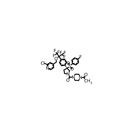 CC(=O)N1CCN(C(=O)N2CC[C@](c3ccc(C(OCc4ccnc(Cl)c4)(C(F)(F)F)C(F)(F)F)cc3)(S(=O)(=O)c3ccc(F)cc3)C2)CC1